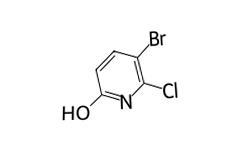 Oc1ccc(Br)c(Cl)n1